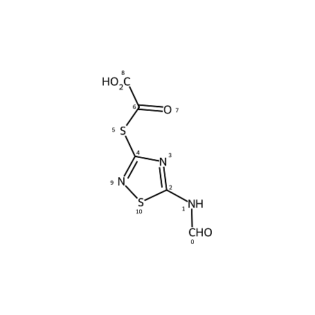 O=CNc1nc(SC(=O)C(=O)O)ns1